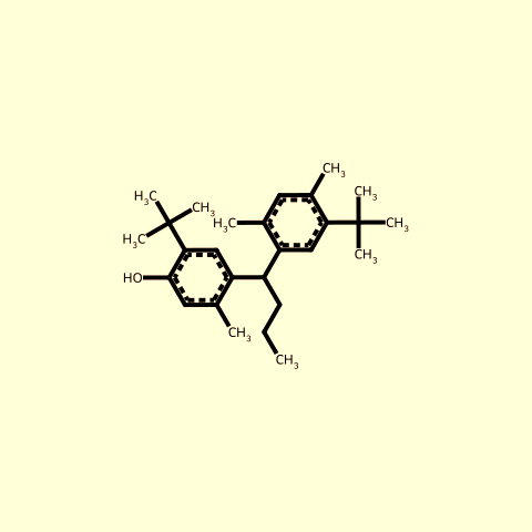 CCCC(c1cc(C(C)(C)C)c(C)cc1C)c1cc(C(C)(C)C)c(O)cc1C